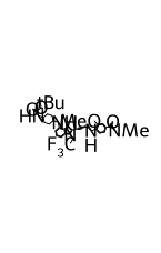 CNC(=O)c1ccc(NCC#Cc2cc3c(NC4CCC(NC(=O)OC(C)(C)C)CC4)cccc3n2CC(F)(F)F)c(OC)c1